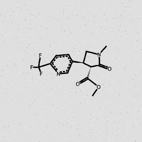 COC(=O)[C@H]1C(=O)N(C)C[C@@H]1c1ccc(C(F)(F)F)nc1